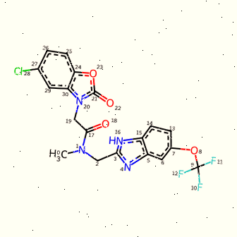 CN(Cc1nc2cc(OC(F)(F)F)ccc2[nH]1)C(=O)Cn1c(=O)oc2ccc(Cl)cc21